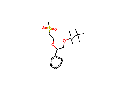 CC(C)(C)[Si](C)(C)OCC(OCCS(C)(=O)=O)c1ccccc1